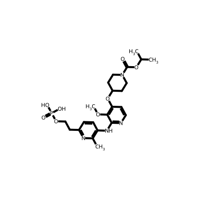 COc1c(OC2CCN(C(=O)OC(C)C)CC2)ccnc1Nc1ccc(CCOP(=O)(O)O)nc1C